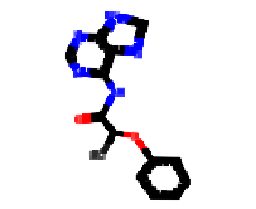 CC(C)(C)C(Oc1ccccc1)C(=O)Nc1ncnc2[nH]cnc12